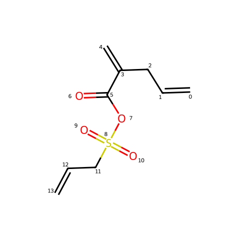 C=CCC(=C)C(=O)OS(=O)(=O)CC=C